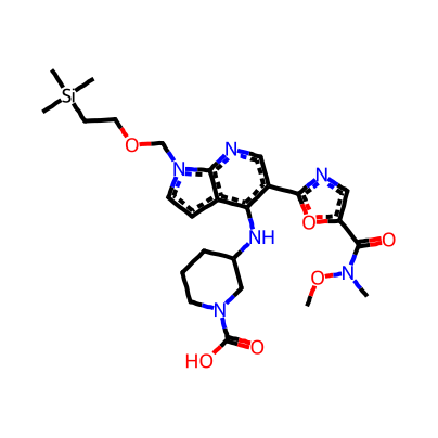 CON(C)C(=O)c1cnc(-c2cnc3c(ccn3COCC[Si](C)(C)C)c2NC2CCCN(C(=O)O)C2)o1